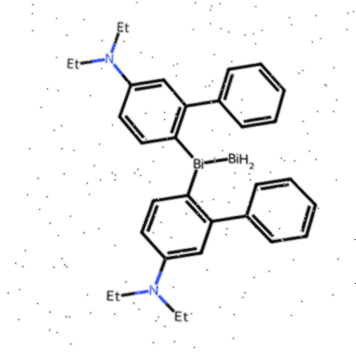 CCN(CC)c1cc[c]([Bi]([BiH2])[c]2ccc(N(CC)CC)cc2-c2ccccc2)c(-c2ccccc2)c1